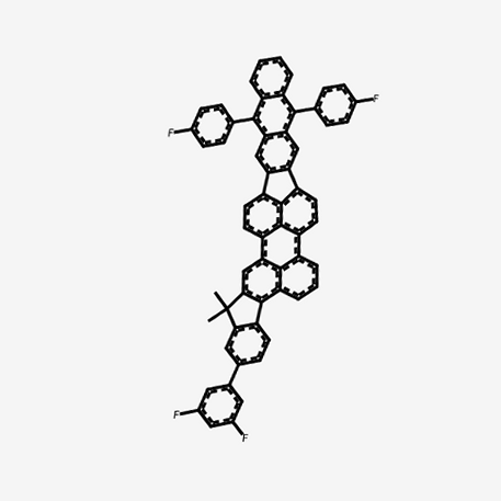 CC1(C)c2cc(-c3cc(F)cc(F)c3)ccc2-c2c1cc1c3ccc4c5c(ccc(c6cccc2c61)c53)-c1cc2c(-c3ccc(F)cc3)c3ccccc3c(-c3ccc(F)cc3)c2cc1-4